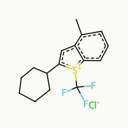 Cc1cccc2c1cc(C1CCCCC1)[s+]2C(F)(F)F.[Cl-]